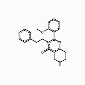 COc1ccccc1-c1nc2c(c(=O)n1CCc1ccccc1)CNCC2